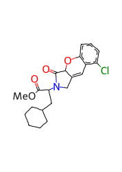 COC(=O)C(CC1CCCCC1)N1CC2=Cc3c(Cl)cccc3OC2C1=O